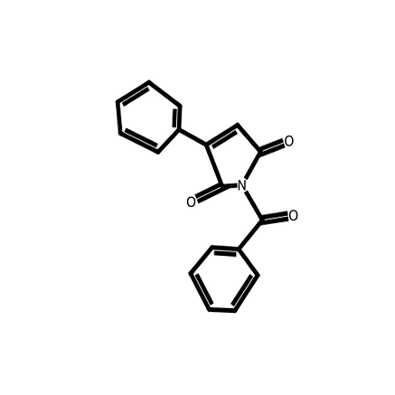 O=C1C=C(c2ccccc2)C(=O)N1C(=O)c1ccccc1